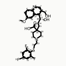 COc1ccc2ncc(CO)c([C@H](O)CCC3(C(=O)O)CCN(CCSc4c(F)cc(F)cc4F)CC3)c2c1